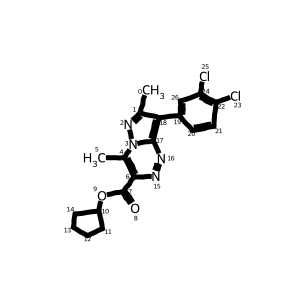 Cc1nn2c(C)c(C(=O)OC3CCCC3)nnc2c1-c1ccc(Cl)c(Cl)c1